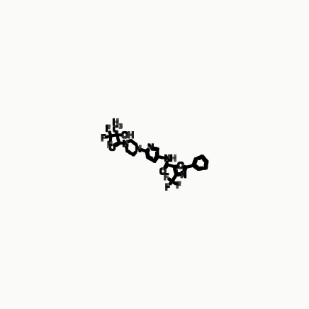 CC(O)(C(=O)N1CCN(c2ccc(NC(=O)c3oc(-c4ccccc4)nc3C(F)(F)F)cn2)CC1)C(F)(F)F